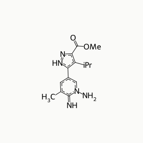 COC(=O)c1n[nH]c(-c2cc(C)c(=N)n(N)c2)c1C(C)C